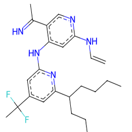 C=CNc1cc(Nc2cc(C(C)(F)F)cc(C(CCC)CCCC)n2)c(C(C)=N)cn1